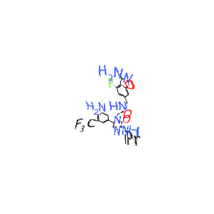 CC(C)Nc1ncc(-c2cc(N)cc(C(F)(F)F)c2)n(CC(=O)NCc2cc(F)c3c(N)noc3c2)c1=O